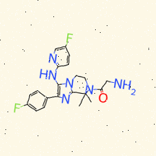 CC1(C)c2nc(-c3ccc(F)cc3)c(Nc3ccc(F)cn3)n2CCN1C(=O)CN